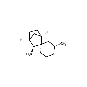 C[C@@H]1CCC[C@@]2(C1)[C@@H]1CC[C@@H](C1)[C@@H]2N